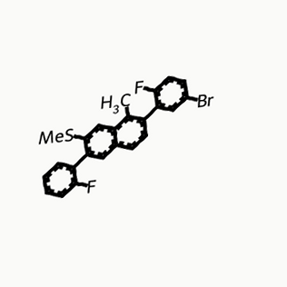 CSc1cc2c(C)c(-c3cc(Br)ccc3F)ccc2cc1-c1ccccc1F